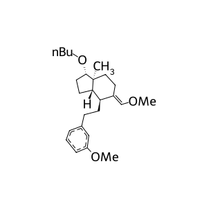 CCCCO[C@H]1CC[C@H]2[C@H](CCc3cccc(OC)c3)/C(=C/OC)CC[C@]12C